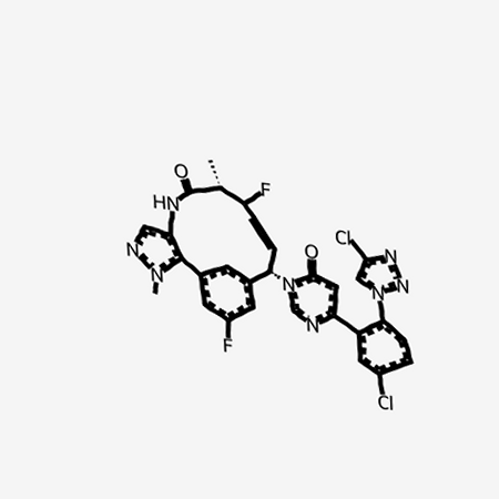 C[C@H]1C(=O)Nc2cnn(C)c2-c2cc(F)cc(c2)[C@@H](n2cnc(-c3cc(Cl)ccc3-n3cc(Cl)nn3)cc2=O)/C=C/C1F